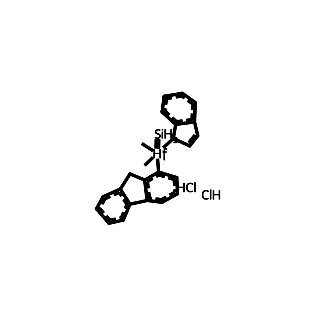 Cl.Cl.[CH3][Hf]([CH3])(=[SiH2])([c]1cccc2c1Cc1ccccc1-2)[CH]1C=Cc2ccccc21